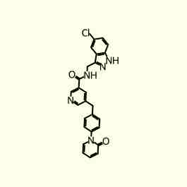 O=C(NCc1n[nH]c2ccc(Cl)cc12)c1cncc(Cc2ccc(-n3ccccc3=O)cc2)c1